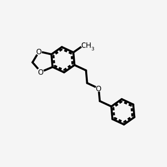 Cc1cc2c(cc1CCOCc1ccccc1)OCO2